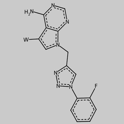 Nc1ncnc2c1[c]([W])cn2Cc1cn(-c2ccccc2F)nn1